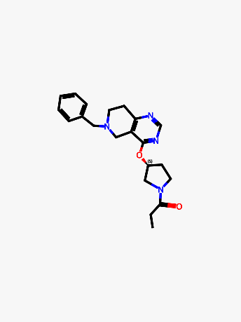 CCC(=O)N1CC[C@H](Oc2ncnc3c2CN(Cc2ccccc2)CC3)C1